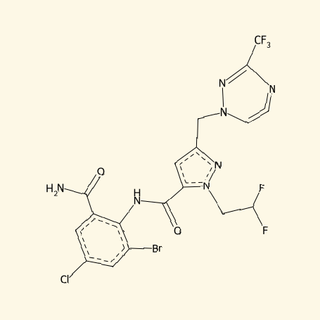 NC(=O)c1cc(Cl)cc(Br)c1NC(=O)c1cc(CN2C=C=NC(C(F)(F)F)=N2)nn1CC(F)F